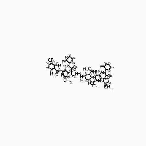 Cc1nc(N[C@H](C)c2cc(NCN3CCC4(C3)C(=O)N(c3cccnc3F)Cc3c(N[C@H](C)c5cccc(C(F)(F)F)c5F)nc(C)nc34)cc(C(F)(F)F)c2)c2c(n1)C1(CCN(C)C1)C(=O)N(c1ccccc1F)C2